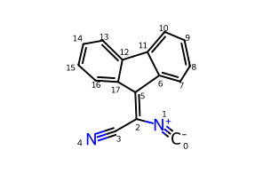 [C-]#[N+]C(C#N)=C1c2ccccc2-c2ccccc21